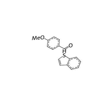 COc1ccc(C(=O)[SH]2C=Cc3ccccc32)cc1